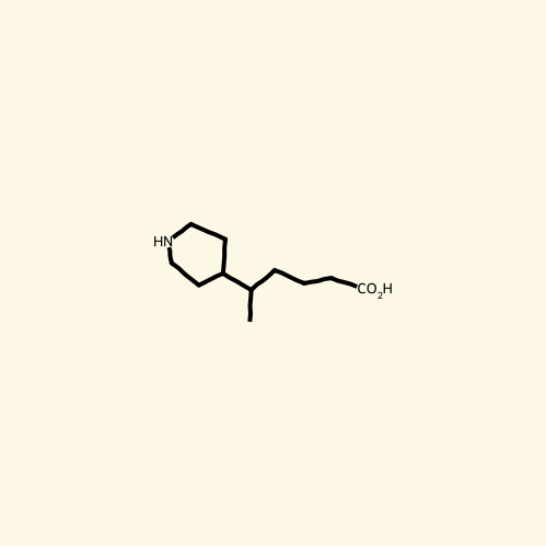 CC(CCCC(=O)O)C1CCNCC1